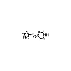 [c]1noc(COC2CCNCC2)n1